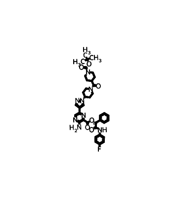 CC(C)(C)OC(=O)N1CCC(C(=O)N2CCC(n3cc(-c4cnc(N)c(C(=O)O[C@@H](C(=O)Nc5ccc(F)cc5)c5ccccc5)n4)cn3)CC2)CC1